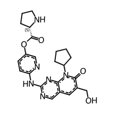 O=C(Oc1ccc(Nc2ncc3cc(CO)c(=O)n(C4CCCC4)c3n2)nc1)[C@@H]1CCCN1